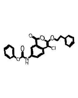 O=C(Nc1ccc2c(Cl)c(OCCc3ccccc3)oc(=O)c2c1)Oc1ccccc1